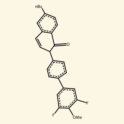 CCCCc1ccc2c(c1)C=CC(c1ccc(-c3cc(F)c(OC)c(F)c3)cc1)C2=O